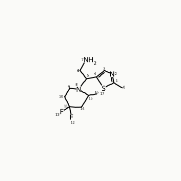 Cc1ncc(C(CN)N2CCC(F)(F)CC2C)s1